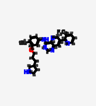 CC(C)(C)c1ccc(Nc2ncnc3cc(-c4ncccc4C(F)(F)F)cnc23)cc1OCCCC1CCNC1